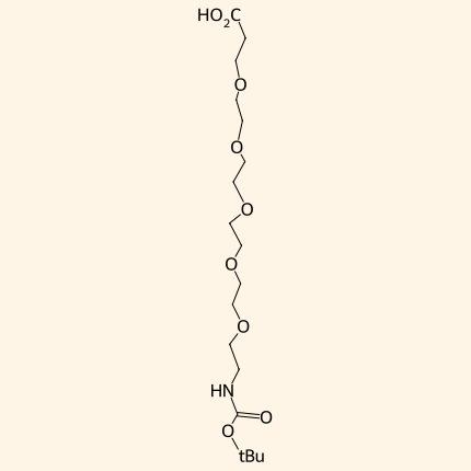 CC(C)(C)OC(=O)NCCOCCOCCOCCOCCOCCC(=O)O